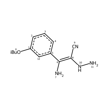 CC(C)COc1cccc(/C(N)=C(\C#N)NN)c1